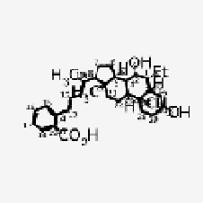 CC[C@H]1[C@@H](O)C2[C@@H]3CC[C@H]([C@H](C)C/C=C/c4ccccc4C(=O)O)[C@@]3(C)CC[C@@H]2[C@@]2(C)CC[C@@H](O)C[C@@H]12